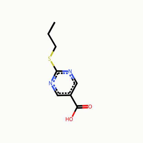 CCCSc1ncc(C(=O)O)cn1